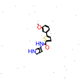 COc1cccc(-c2ccc(C(=O)NC3CC4CNC3C4)s2)c1